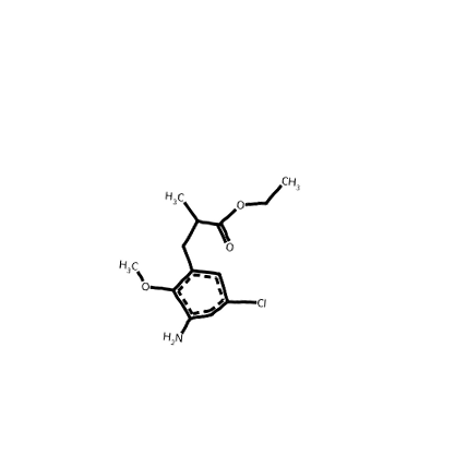 CCOC(=O)C(C)Cc1cc(Cl)cc(N)c1OC